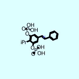 CC(C)c1c(OP(=O)(O)O)cc(/C=C/c2ccccc2)cc1OP(=O)(O)O